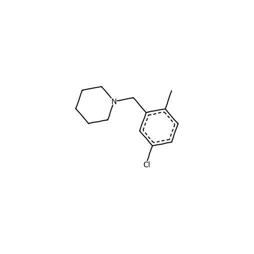 Cc1ccc(Cl)cc1CN1CCCCC1